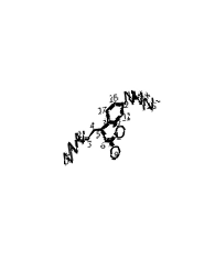 [N-]=[N+]=NCCc1cc(=O)oc2cc(N=[N+]=[N-])ccc12